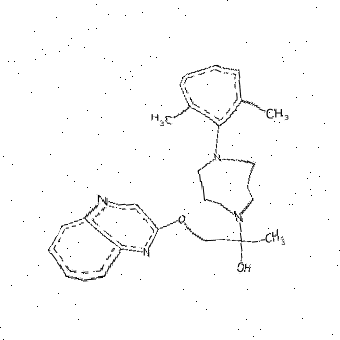 Cc1cccc(C)c1N1CCN(C(C)(O)COc2cnc3ccccc3n2)CC1